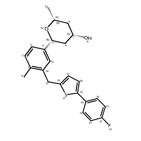 Cc1ccc([C@H]2C[C@@H](O)C[C@@H](C)O2)cc1Cc1ccc(-c2ccc(F)cc2)s1